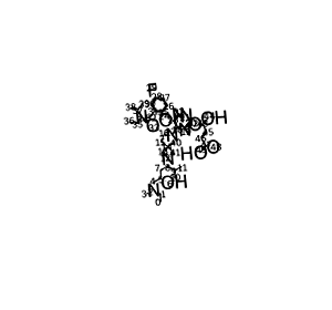 CCN(C)C[C@@H](O)C[C@H](C(C)C)N1CC2(CCN(c3ncnnc3Oc3ccc(F)cc3C(=O)N(CC)C(C)C)C2)C1.O=C(O)/C=C/C(=O)O